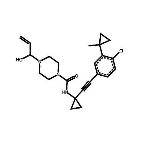 C=CC(O)N1CCN(C(=O)NC2(C#Cc3ccc(Cl)c(C4(C)CC4)c3)CC2)CC1